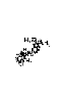 COc1cc2c(cc1OC)CN(CCCNS(=O)(=O)c1cccc(Cl)c1C)CC2